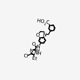 CCc1[nH]c(C(=O)Nc2ccc3c(c2)OCCN3Cc2cccc(C(=O)O)c2)nc1Cl